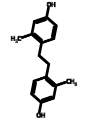 Cc1cc(O)ccc1CCc1ccc(O)cc1C